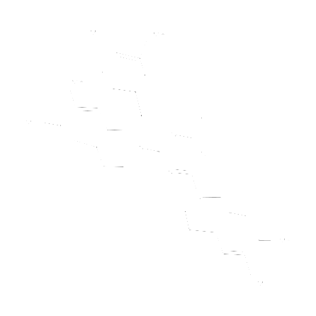 Br.COc1ccc(CC2c3cc(OC)c(OC)cc3CCN2c2nc(N)nc(N3CCc4cc(OC)c(OC)cc4C3)n2)cc1OC